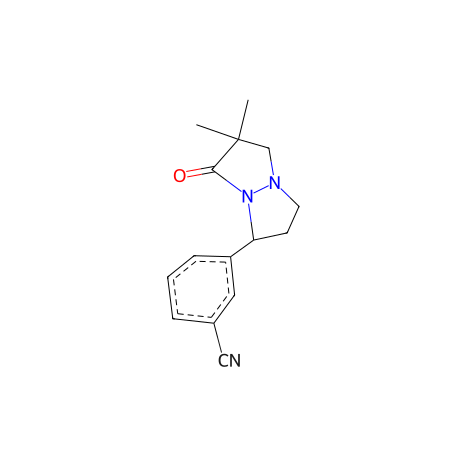 CC1(C)CN2CCC(c3cccc(C#N)c3)N2C1=O